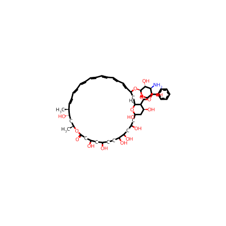 C[C@H]1C[C@H](O)[C@@H](C)/C=C/C=C/C=C/C=C/C=C/C=C/C=C/C(O[C@@H]2OC[C@@H](O)[C@H](N)[C@H]2O)C[C@@H]2OC(O)(CC(O)CC(O)C(O)CCC(O)CC(O)CC(=O)O1)C[C@H](O)C2C(=O)OCc1ccccc1